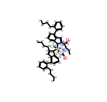 CCCCC1=Cc2c(-c3ccccc3CCCC)cccc2[CH]1[Zr]([Cl])([Cl])([B](NC=O)NC=O)[CH]1C(CCCC)=Cc2c(-c3ccccc3CCCC)cccc21